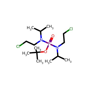 CC(C)N(CCCl)P(=O)(OC(C)(C)C)N(CCCl)C(C)C